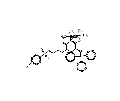 Cc1ccc(S(=O)(=O)OCCCC(C[C@H](NC(c2ccccc2)(c2ccccc2)c2ccccc2)C(=O)OC(C)(C)C)C(=O)OC(C)(C)C)cc1